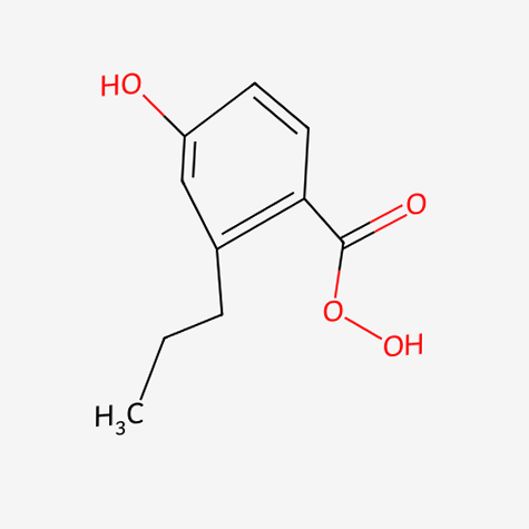 CCCc1cc(O)ccc1C(=O)OO